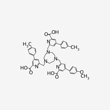 COc1ccc(-c2cc(CN3CCN(Cc4cc(-c5ccc(C)cc5)cc(C(=O)O)n4)CCN(Cc4cc(-c5ccc(C)cc5)cc(C(=O)O)n4)CC3)nc(C(=O)O)c2)cc1